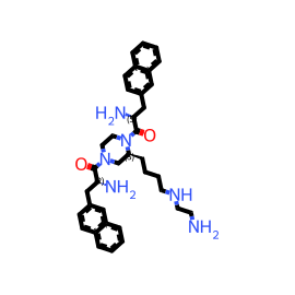 NCCNCCCC[C@H]1CN(C(=O)[C@H](N)Cc2ccc3ccccc3c2)CCN1C(=O)[C@@H](N)Cc1ccc2ccccc2c1